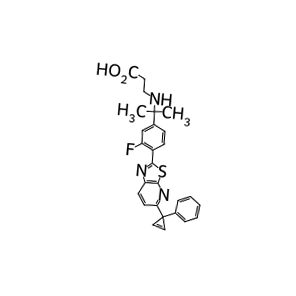 CC(C)(NCCC(=O)O)c1ccc(-c2nc3ccc(C4(c5ccccc5)C=C4)nc3s2)c(F)c1